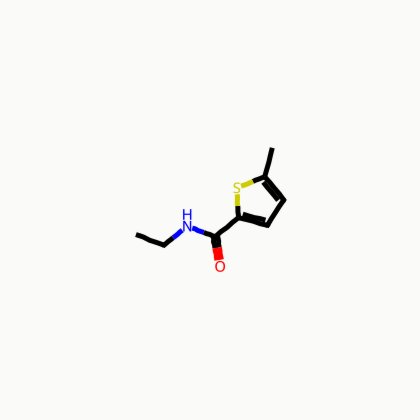 CCNC(=O)c1ccc(C)s1